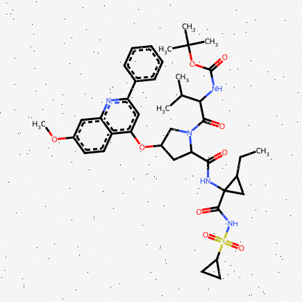 CCC1CC1(NC(=O)C1CC(Oc2cc(-c3ccccc3)nc3cc(OC)ccc23)CN1C(=O)C(NC(=O)OC(C)(C)C)C(C)C)C(=O)NS(=O)(=O)C1CC1